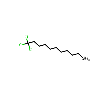 [SiH3]CCCCCCCCCC(Cl)(Cl)Cl